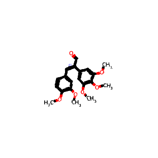 COc1ccc(/C=C(/C=O)c2cc(OC)c(OC)c(OC)c2)cc1OC